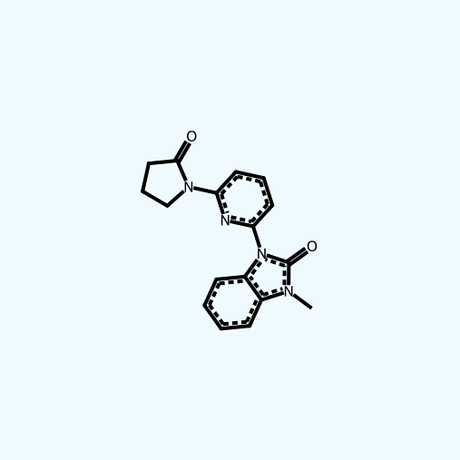 Cn1c(=O)n(-c2cccc(N3CCCC3=O)n2)c2ccccc21